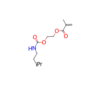 C=C(C)C(=O)OCCOC(=O)NCCC(C)C